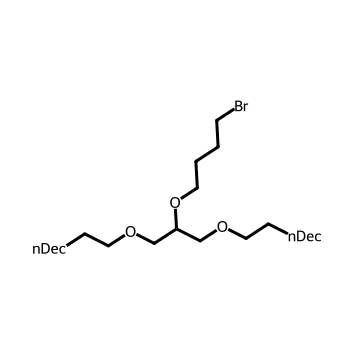 CCCCCCCCCCCCOCC(COCCCCCCCCCCCC)OCCCCBr